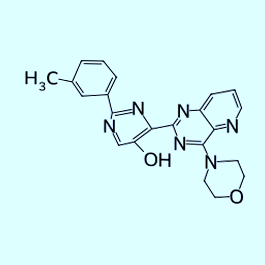 Cc1cccc(-c2ncc(O)c(-c3nc(N4CCOCC4)c4ncccc4n3)n2)c1